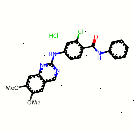 COc1cc2cnc(Nc3ccc(C(=O)Nc4ccccc4)c(Cl)c3)nc2cc1OC.Cl